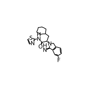 N=C1c2cc(F)ccc2CN1C(CC1CCCCC1)C(=O)Nc1nccs1